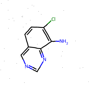 Nc1c(Cl)ccc2cncnc12